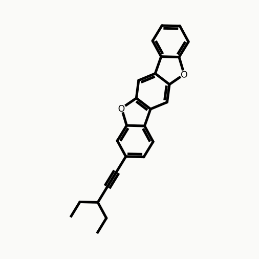 CCC(C#Cc1ccc2c(c1)oc1cc3c(cc12)oc1ccccc13)CC